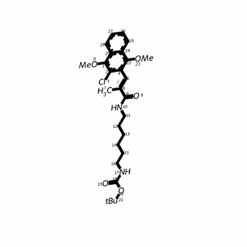 COc1c(Cl)c(/C=C(\C)C(=O)NCCCCCCNC(=O)OC(C)(C)C)c(OC)c2ccccc12